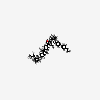 CCCCC(C)(O[C@]1(F)C(F)(F)C(F)(F)C1(F)Oc1ccc(-c2ccc(CCC)cc2)cc1)C(C)(CC)c1ccc(C(c2ccc(OC3(F)C(F)(F)C(F)(F)C3(F)OC(C)CCC)cc2)(C(F)(F)F)C(F)(F)F)cc1